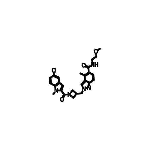 COCCNC(=O)c1ccc2nn(CC3CN(C(=O)c4cc5cc(Cl)ccc5n4C)C3)cc2c1C